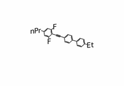 CCCc1cc(F)c(C#Cc2ccc(-c3ccc(CC)cc3)cc2)c(F)c1